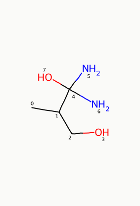 CC(CO)C(N)(N)O